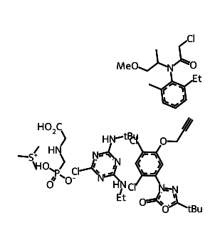 C#CCOc1cc(-n2nc(C(C)(C)C)oc2=O)c(Cl)cc1Cl.CCNc1nc(Cl)nc(NC(C)(C)C)n1.CCc1cccc(C)c1N(C(=O)CCl)C(C)COC.C[S+](C)C.O=C(O)CNCP(=O)([O-])O